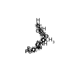 Cc1cc(Nc2nccn3c(-c4ccc(OC(F)F)cc4)cnc23)ccc1C(=O)N1CCN(C(=O)NC2CCNC2)CC1